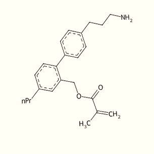 C=C(C)C(=O)OCc1cc(CCC)ccc1-c1ccc(CCCN)cc1